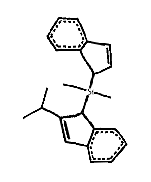 CC(C)C1=Cc2ccccc2C1[Si](C)(C)C1C=Cc2ccccc21